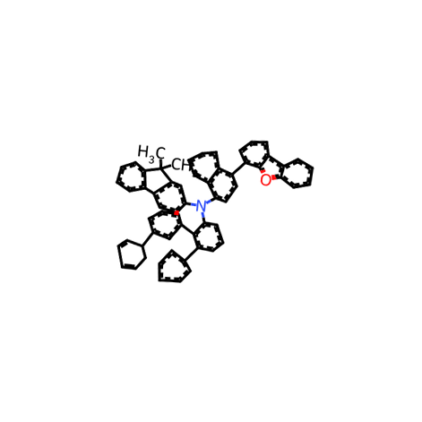 CC1(C)c2ccccc2-c2ccc(N(c3cccc(-c4ccccc4)c3-c3cccc(C4C=CC=CC4)c3)c3ccc(-c4cccc5c4oc4ccccc45)c4ccccc34)cc21